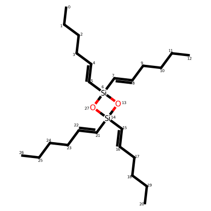 CCCCC=C[Si]1(C=CCCCC)O[Si](C=CCCCC)(C=CCCCC)O1